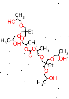 CCC(COCC(C)O)(COCC(C)O)COCC(C)OC(=O)OC(C)COCC(CC)(COCC(C)O)COCC(C)O